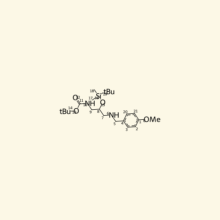 COc1ccc(CNCC(CNC(=O)OC(C)(C)C)O[Si](C)(C)C(C)(C)C)cc1